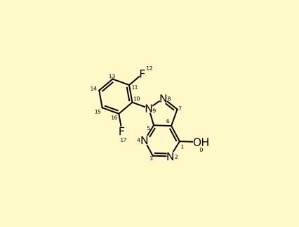 Oc1ncnc2c1cnn2-c1c(F)cccc1F